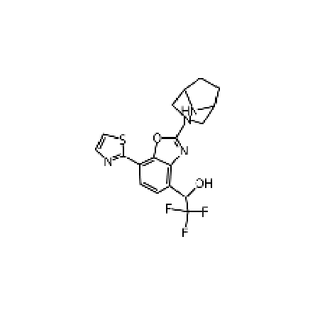 OC(c1ccc(-c2nccs2)c2oc(N3CC4CCC(C3)N4)nc12)C(F)(F)F